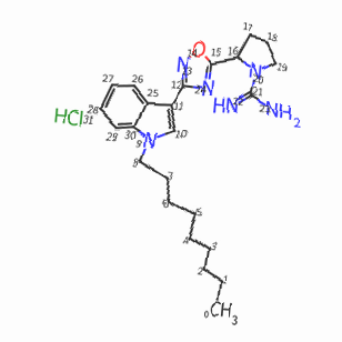 CCCCCCCCCn1cc(-c2noc(C3CCCN3C(=N)N)n2)c2ccccc21.Cl